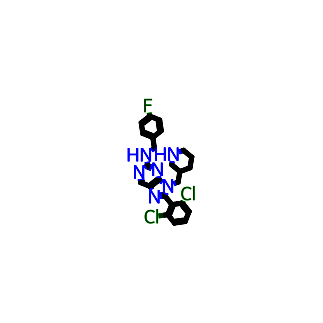 Fc1ccc(CNc2ncc3nc(-c4c(Cl)cccc4Cl)n(CC4CCCNC4)c3n2)cc1